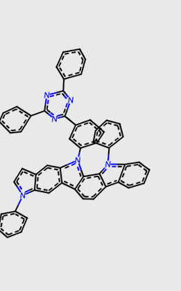 c1ccc(-c2nc(-c3ccccc3)nc(-c3cccc(-n4c5cc6ccn(-c7ccccc7)c6cc5c5ccc6c7ccccc7n(-c7ccccc7)c6c54)c3)n2)cc1